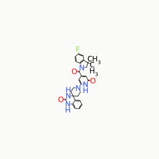 CC1(C)CN(C(=O)c2cc(N3CCC4(CC3)NC(=O)Nc3ccccc34)[nH]c(=O)c2)c2ccc(F)cc21